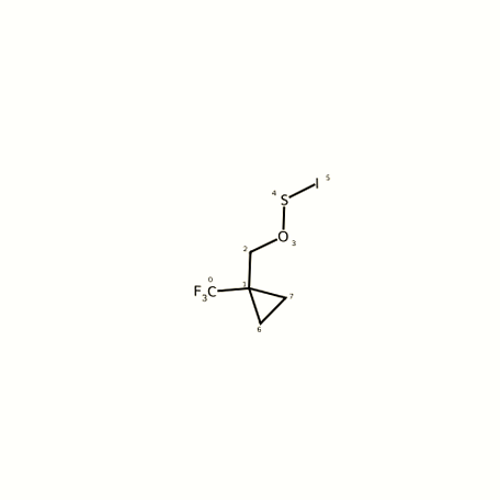 FC(F)(F)C1(COSI)CC1